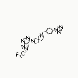 FC(F)(F)Cn1cc2c(N3CCC4(CCN(Cc5ccc(-n6cncn6)cc5)C4)C3)ncnc2n1